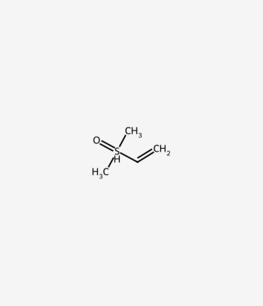 C=C[SH](C)(C)=O